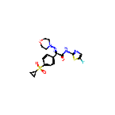 O=C(Nc1ncc(F)s1)/C(=N/N1CCOCC1)c1ccc(S(=O)(=O)C2CC2)cc1